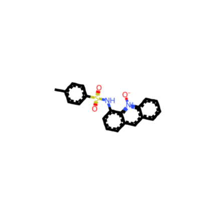 Cc1ccc(S(=O)(=O)Nc2cccc3cc4ccccc4[n+]([O-])c23)cc1